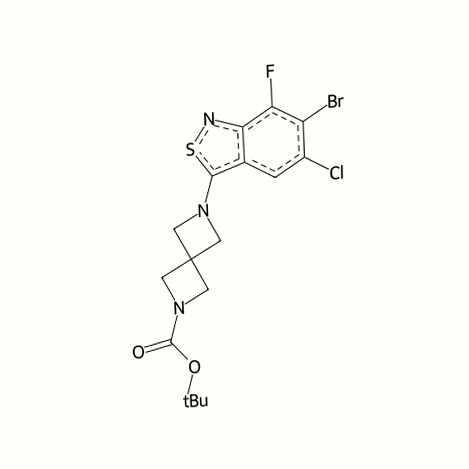 CC(C)(C)OC(=O)N1CC2(C1)CN(c1snc3c(F)c(Br)c(Cl)cc13)C2